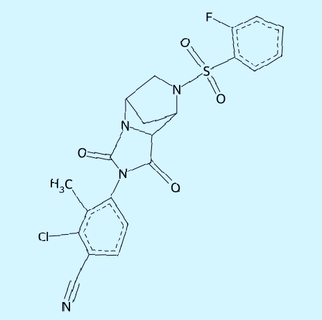 Cc1c(N2C(=O)C3C4CC(CN4S(=O)(=O)c4ccccc4F)N3C2=O)ccc(C#N)c1Cl